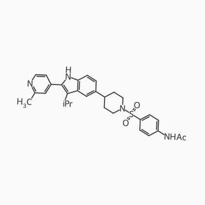 CC(=O)Nc1ccc(S(=O)(=O)N2CCC(c3ccc4[nH]c(-c5ccnc(C)c5)c(C(C)C)c4c3)CC2)cc1